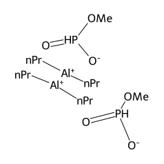 CC[CH2][Al+][CH2]CC.CC[CH2][Al+][CH2]CC.CO[PH](=O)[O-].CO[PH](=O)[O-]